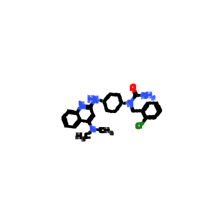 CN(C)c1cc(N[C@H]2CC[C@@H](N(Cc3ccccc3Cl)C(N)=O)CC2)nc2ccccc12